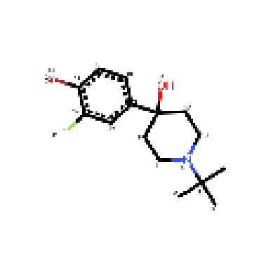 CC(C)(C)N1CCC(O)(c2ccc(Br)c(F)c2)CC1